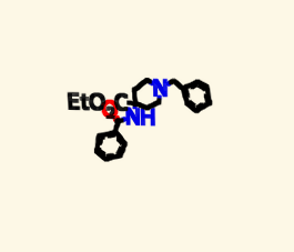 CCOC(=O)C1(NC(=O)c2ccccc2)CCN(Cc2ccccc2)CC1